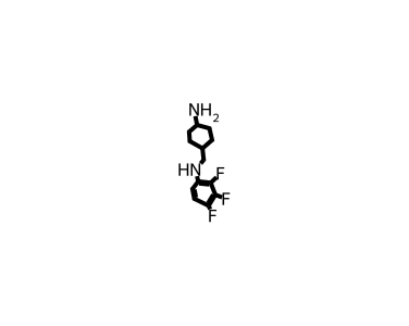 NC1CCC(CNc2ccc(F)c(F)c2F)CC1